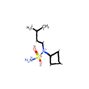 CC(C)CCN(C1CCC1)S(N)(=O)=O